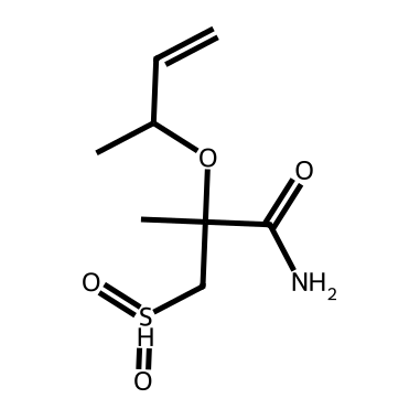 C=CC(C)OC(C)(C[SH](=O)=O)C(N)=O